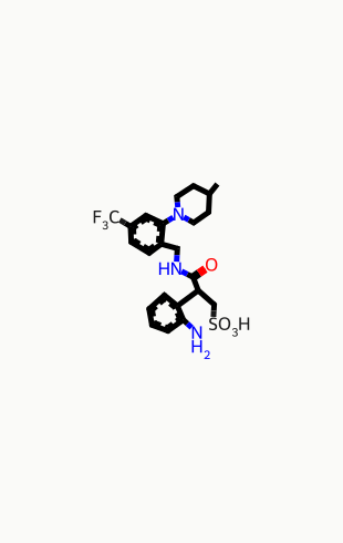 CC1CCN(c2cc(C(F)(F)F)ccc2CNC(=O)C(CS(=O)(=O)O)c2ccccc2N)CC1